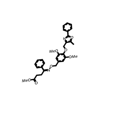 COC(=O)CCC(=NOCc1cc(OC)c(OCc2nc(-c3ccccc3)oc2C)c(OC)c1)c1ccccc1